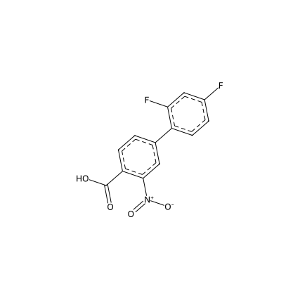 O=C(O)c1ccc(-c2ccc(F)cc2F)cc1[N+](=O)[O-]